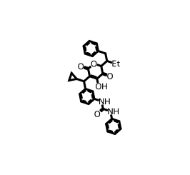 CCC(Cc1ccccc1)C1OC(=O)C(C(c2cccc(NC(=O)Nc3ccccc3)c2)C2CC2)=C(O)C1=O